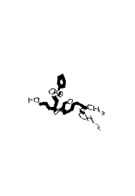 C=C=C(C)CC1CCC(OC(CCCO)CCS(=O)(=O)c2ccccc2)CO1